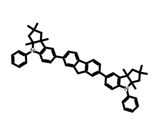 CC1(C)CC2(C)c3cc(-c4ccc5c(c4)Cc4cc(-c6ccc7c(c6)C6(C)CC(C)(C)CC6(C)N7c6ccccc6)ccc4-5)ccc3N(c3ccccc3)C2(C)C1